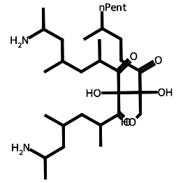 CCCCCC(C)CCC(=O)C(O)(CO)C(O)(C(=O)C(C)CC(C)CC(C)N)C(=O)C(C)CC(C)CC(C)N